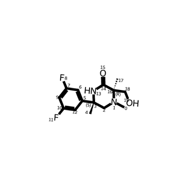 CN1C[C@](C)(c2cc(F)cc(F)c2)NC(=O)[C@@]1(C)CO